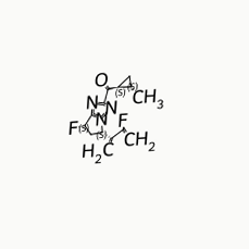 C=C(F)C(=C)[C@@H]1C[C@H](F)c2nc(C(=O)[C@H]3C[C@@H]3C)nn21